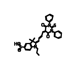 CCCN1/C(=C/C=C/C=C2C(=O)N(c3ccccc3)C(=S)N(c3ccccc3)C2=O)C(C)(C)c2cc(S(=O)O)ccc21